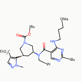 CCOC(=O)c1cnn(C)c1[C@@H]1C[C@H](N(CC(C)C)C(=O)c2cnc(C(C)(C)C)nc2NCCCOC)CN(C(=O)OC(C)(C)C)C1